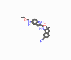 CCOCNc1ccc2[nH]c(C(=O)N[C@H]3c4cc(C#N)ccc4CC3(C)C)cc2c1